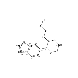 COCCC1CNCCN1c1ccc2[nH]ncc2c1